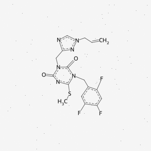 C=CCn1cnc(Cn2c(=O)nc(SC)n(Cc3cc(F)c(F)cc3F)c2=O)n1